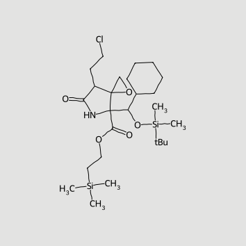 CC(C)(C)[Si](C)(C)OC(C1CCCCC1)C1(C(=O)OCC[Si](C)(C)C)NC(=O)C(CCCl)C12CO2